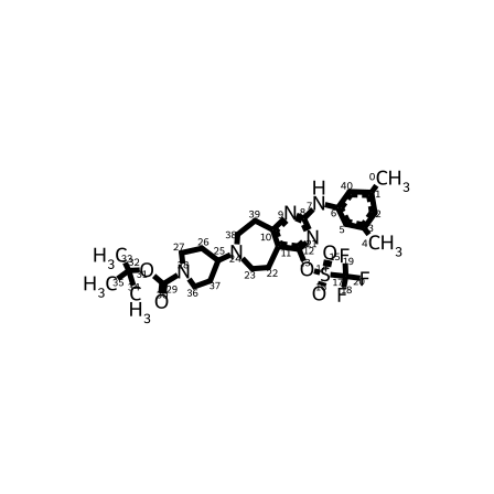 Cc1cc(C)cc(Nc2nc3c(c(OS(=O)(=O)C(F)(F)F)n2)CCN(C2CCN(C(=O)OC(C)(C)C)CC2)CC3)c1